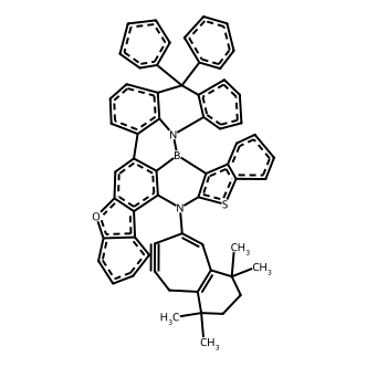 CC1(C)CCC(C)(C)C2=C1C=C(N1c3sc4ccccc4c3B3c4c(cc5oc6ccccc6c5c41)-c1cccc4c1N3c1ccccc1C4(c1ccccc1)c1ccccc1)C#CC2